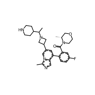 Cc1ncc2c(-c3ccc(F)cc3C(=O)N3CCOC[C@H]3C)cc(C3CN(C(C)C4CCNCC4)C3)cn12